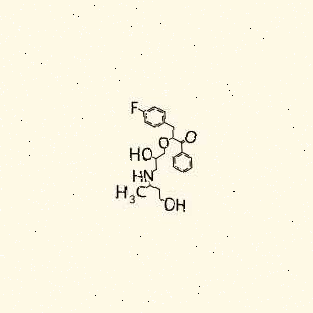 CC(CCO)NCC(O)COC(Cc1ccc(F)cc1)C(=O)c1ccccc1